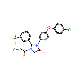 O=C(CCl)N1CC(=O)N(c2ccc(Oc3ccc(Cl)cc3)cc2)C1c1cccc(C(F)(F)F)c1